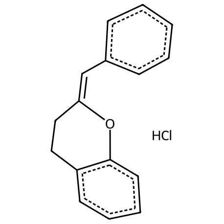 C(=C1CCc2ccccc2O1)c1ccccc1.Cl